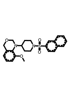 COc1cccc2c1N(C1CCN(S(=O)(=O)c3ccc4ccccc4c3)CC1)COC2